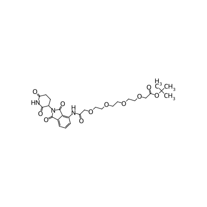 CC(C)(C)OC(=O)COCCOCCOCCOCC(=O)Nc1cccc2c1C(=O)N(C1CCC(=O)NC1=O)C2=O